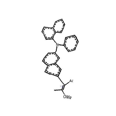 CO/C(C)=C(\C(C)=O)c1ccc2ccc(N(c3ccccc3)c3cccc4ccccc34)cc2c1